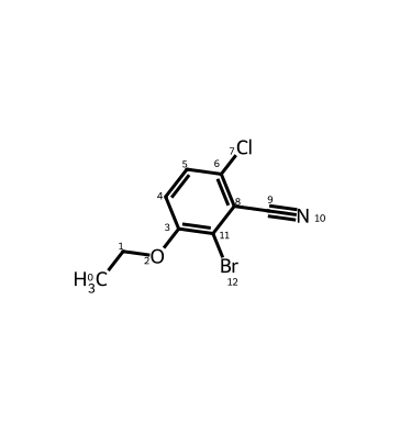 CCOc1ccc(Cl)c(C#N)c1Br